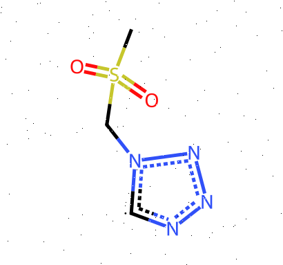 CS(=O)(=O)Cn1[c]nnn1